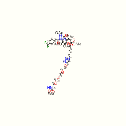 COC(=O)[C@@]1(OCCCCCCn2cc(COCCOCCOCCOCCNC(=O)OC(C)(C)C)nn2)C[C@H](OC(C)=O)[C@@H](NC(=O)COC(C)=O)[C@H]([C@H](OC(C)=O)[C@@H](CNC(=O)Cc2ccc(C(F)F)cc2)OC(C)=O)O1